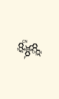 Cc1ncc(-c2cccc3cc(C(C)Nc4ncnc5ccc(C#N)cc45)n(-c4ccc(F)cc4)c(=O)c23)cn1